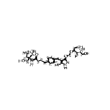 CC(C)c1[nH]nc(OCOC(CO)C(F)C(O)CO)c1Cc1ccc(CCCC(=O)NC(CO)(CO)CO)cc1